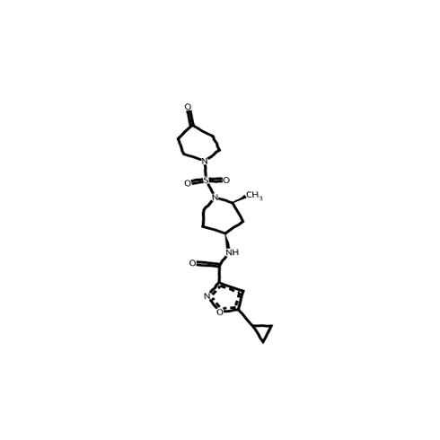 C[C@H]1C[C@@H](NC(=O)c2cc(C3CC3)on2)CCN1S(=O)(=O)N1CCC(=O)CC1